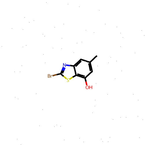 Cc1cc(O)c2sc(Br)nc2c1